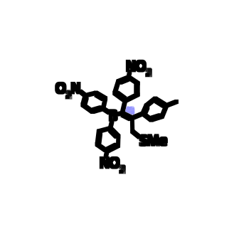 CSC/C(=C(\B(c1ccc([N+](=O)[O-])cc1)c1ccc([N+](=O)[O-])cc1)c1ccc([N+](=O)[O-])cc1)c1ccc(C)cc1